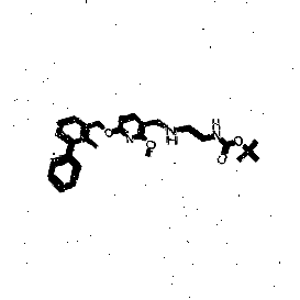 COc1nc(OCc2cccc(-c3ccccc3)c2C)ccc1CNCCNC(=O)OC(C)(C)C